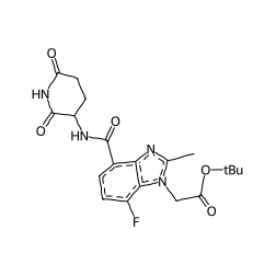 Cc1nc2c(C(=O)NC3CCC(=O)NC3=O)ccc(F)c2n1CC(=O)OC(C)(C)C